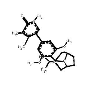 COc1cc(-c2cn(C)c(=O)c(C)c2C)cc(OC)c1CN1C2CCC1CN(C(C)C)C2